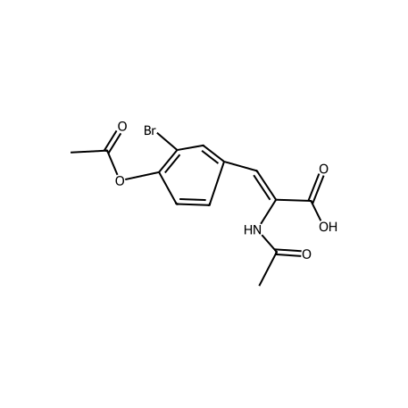 CC(=O)NC(=Cc1ccc(OC(C)=O)c(Br)c1)C(=O)O